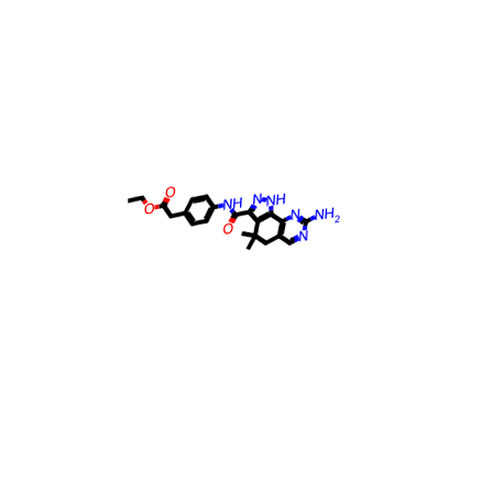 CCOC(=O)Cc1ccc(NC(=O)c2n[nH]c3c2C(C)(C)Cc2cnc(N)nc2-3)cc1